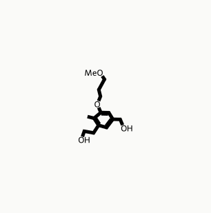 COCCCOc1cc(CO)cc(CCO)c1C